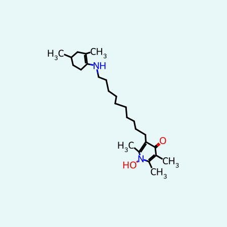 CC1=C(NCCCCCCCCCCc2c(C)n(O)c(C)c(C)c2=O)CCC(C)C1